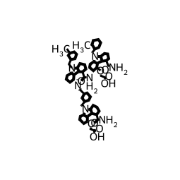 Cc1cccc(Cn2c3ccc[c]c3c3c(C(N)=O)cccc32)c1.Cc1ccccc1Cn1c2cccc(OCC(=O)O)c2c2c(C(N)=O)cccc21.N#Cc1cccc(Cn2c3cccc(OCC(=O)O)c3c3c(C(N)=O)cccc32)c1